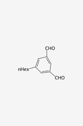 CCCCCCc1cc(C=O)cc(C=O)c1